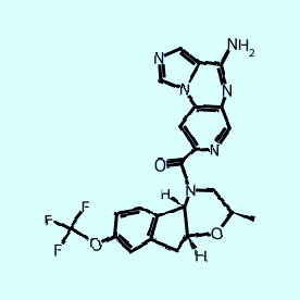 C[C@@H]1CN(C(=O)c2cc3c(cn2)nc(N)c2cncn23)[C@H]2c3ccc(OC(F)(F)F)cc3C[C@H]2O1